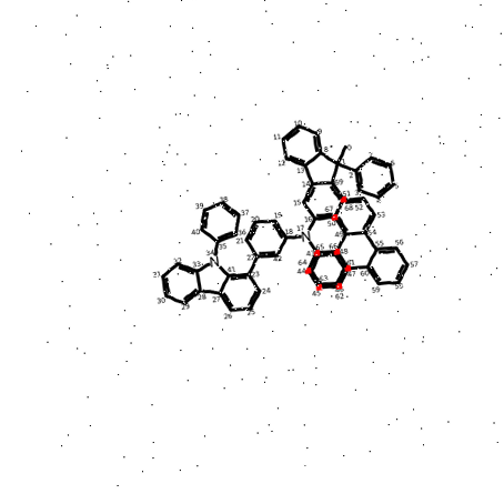 CC1(c2ccccc2)c2ccccc2-c2cc(N(c3cccc(-c4cccc5c6ccccc6n(-c6ccccc6)c45)c3)c3ccccc3-c3ccccc3-c3ccccc3-c3ccccc3)ccc21